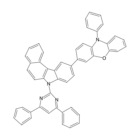 c1ccc(-c2cc(-c3ccccc3)nc(-n3c4ccc(-c5ccc6c(c5)Oc5ccccc5N6c5ccccc5)cc4c4c5ccccc5ccc43)n2)cc1